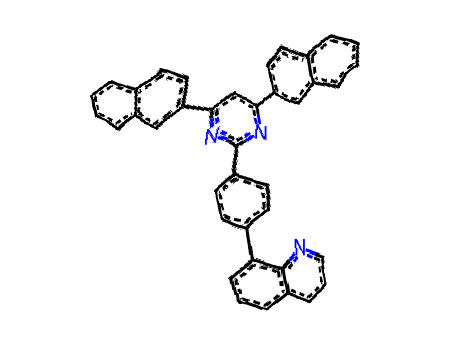 c1ccc2cc(-c3cc(-c4ccc5ccccc5c4)nc(-c4ccc(-c5cccc6cccnc56)cc4)n3)ccc2c1